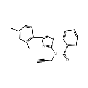 C#CCN(C(=O)c1ccccc1)c1nc(-c2ccc(C)cc2C)cs1